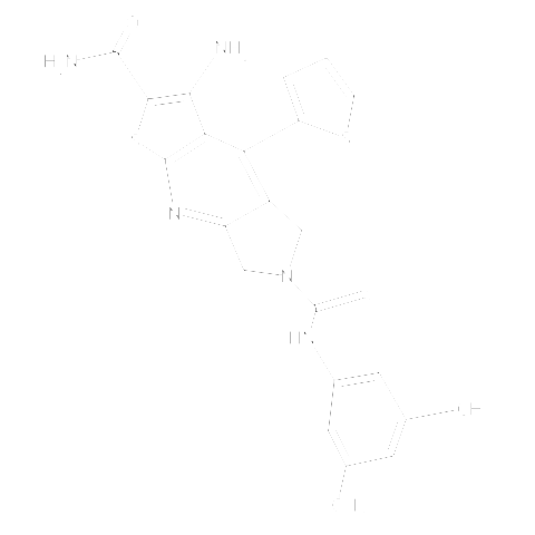 Cc1cc(C)cc(NC(=S)N2Cc3nc4sc(C(N)=O)c(N)c4c(-c4cccs4)c3C2)c1